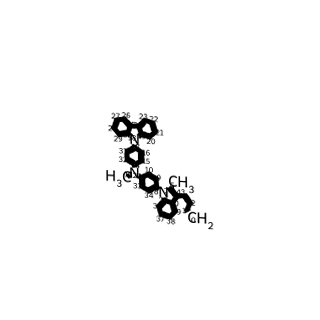 C=C/C=C\c1c(C)n(-c2ccc(N(C)c3ccc(-n4c5ccccc5c5ccccc54)cc3)cc2)c2ccccc12